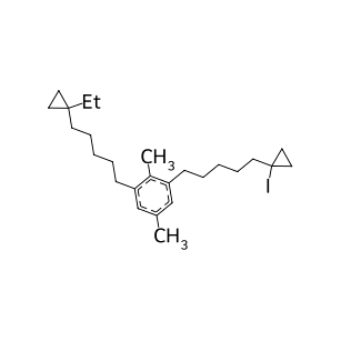 CCC1(CCCCCc2cc(C)cc(CCCCCC3(I)CC3)c2C)CC1